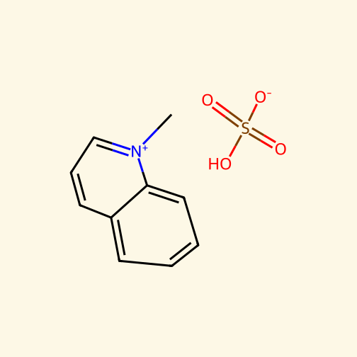 C[n+]1cccc2ccccc21.O=S(=O)([O-])O